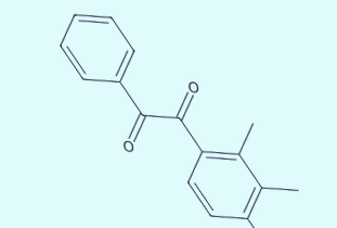 Cc1ccc(C(=O)C(=O)c2ccccc2)c(C)c1C